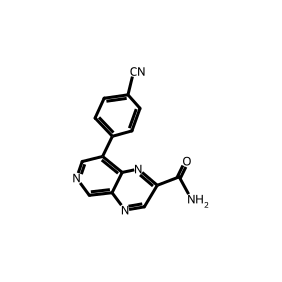 N#Cc1ccc(-c2cncc3ncc(C(N)=O)nc23)cc1